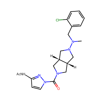 CC(=O)Nc1ccn(C(=O)N2C[C@@H]3CN(N(C)Cc4ccccc4Cl)C[C@@H]3C2)n1